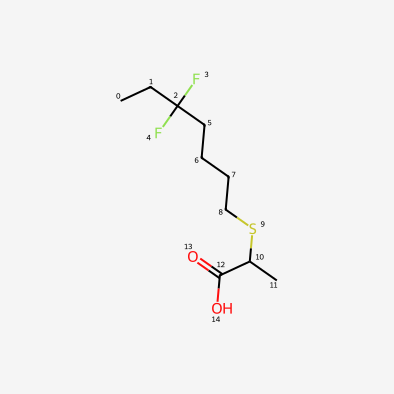 CCC(F)(F)CCCCSC(C)C(=O)O